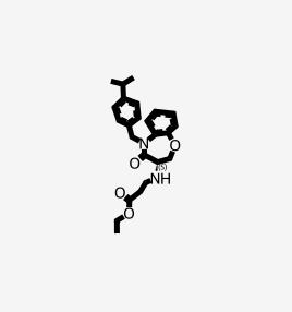 CCOC(=O)CCN[C@H]1COc2ccccc2N(Cc2ccc(C(C)C)cc2)C1=O